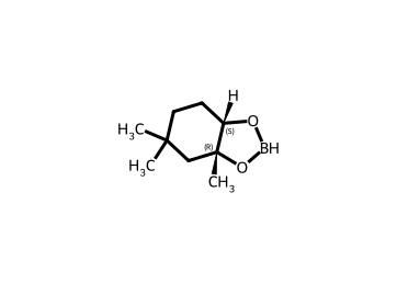 CC1(C)CC[C@@H]2OBO[C@]2(C)C1